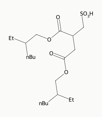 CCCCC(CC)COC(=O)CC(CS(=O)(=O)O)C(=O)OCC(CC)CCCC